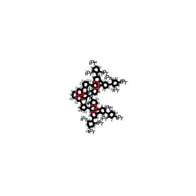 CC(C)c1cc(C(C)C)c(-c2ccc3c(c2)c2cc(-c4c(C(C)C)cc(C(C)C)cc4C(C)C)ccc2n3-c2ccc3c(c2)N(c2c(-c4ccccc4)cccc2-c2ccccc2)c2cc(-c4ccccc4)cc4c2B3c2ccc(-n3c5ccc(-c6c(C(C)C)cc(C(C)C)cc6C(C)C)cc5c5cc(-c6c(C(C)C)cc(C(C)C)cc6C(C)C)ccc53)cc2N4c2c(-c3ccccc3)cccc2-c2ccccc2)c(C(C)C)c1